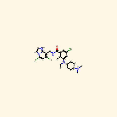 CCN(c1cc(Cl)cc(C(=O)NCc2c(F)cc(F)n3ccnc23)c1C)[C@H]1CC[C@H](N(C)C)CC1